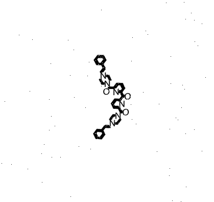 O=C(c1cccc(C(=O)N2CCN(C=Cc3ccccc3)CC2)n1)c1cccc(C(=O)N2CCN(C=Cc3ccccc3)CC2)n1